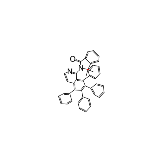 CC1(C)c2ccccc2C(=O)N1c1nccc2c(-c3ccccc3)c(-c3ccccc3)c(-c3ccccc3)c(-c3ccccc3)c12